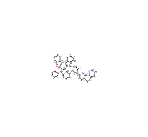 c1ccc(-n2c3ccccc3c3c2c2oc4ccccc4c2c2c4ccccc4n(-c4ccc(-c5ccc6ccc7cccnc7c6n5)cc4)c23)cc1